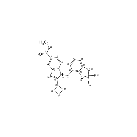 COC(=O)c1ccc2c(c1)nc(C1CCC1)n2Cc1cccc2c1OC(F)(F)O2